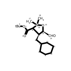 CC(C)(C)OC(=O)C1[C@H](CC2CCCCC2)[C@H](C=O)O[N+]1(C)C